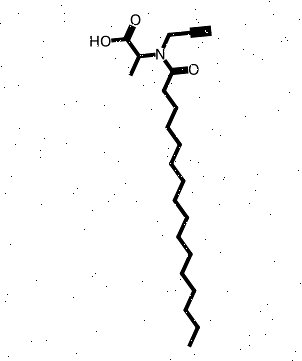 C#CCN(C(=O)CCCCCCCCCCCCCCC)C(C)C(=O)O